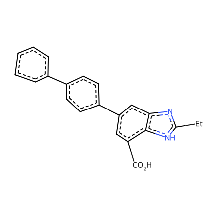 CCc1nc2cc(-c3ccc(-c4ccccc4)cc3)cc(C(=O)O)c2[nH]1